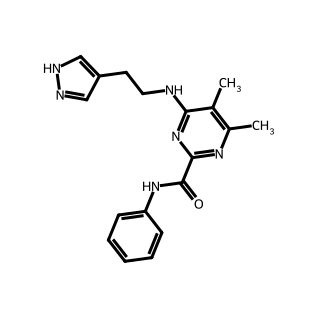 Cc1nc(C(=O)Nc2ccccc2)nc(NCCc2cn[nH]c2)c1C